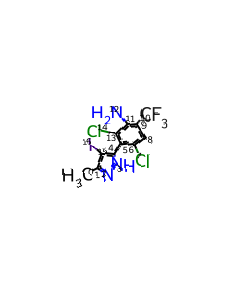 Cc1n[nH]c(-c2c(Cl)cc(C(F)(F)F)c(N)c2Cl)c1I